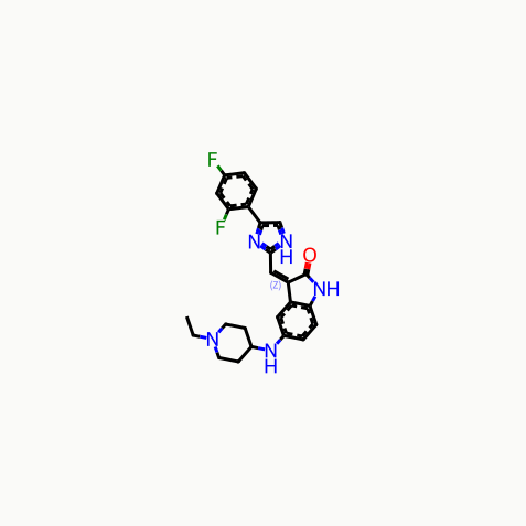 CCN1CCC(Nc2ccc3c(c2)/C(=C/c2nc(-c4ccc(F)cc4F)c[nH]2)C(=O)N3)CC1